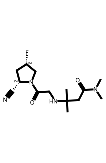 CN(C)C(=O)CC(C)(C)NCC(=O)N1C[C@@H](F)C[C@H]1C#N